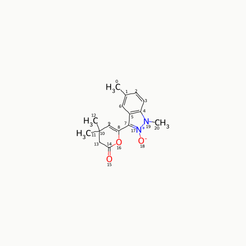 Cc1ccc2c(c1)c(C1=CC(C)(C)CC(=O)O1)[n+]([O-])n2C